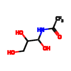 O=C(NC(O)C(O)CO)C(F)(F)F